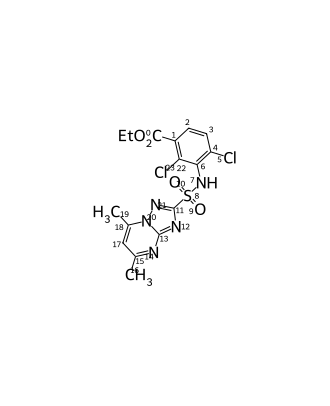 CCOC(=O)c1ccc(Cl)c(NS(=O)(=O)c2nc3nc(C)cc(C)n3n2)c1Cl